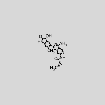 Cc1cc2c(cc1-c1cc3cc(NC(=O)[C@H]4C[C@@H]4C)ncc3c(N)n1)C(O)C(=O)N2